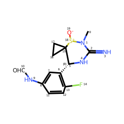 CN1C(=N)N[C@H](c2cc(NC=O)ccc2F)C2(CC2)[S+]1[O-]